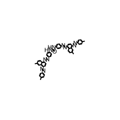 Cc1ccc(N=Nc2ccc(N=Nc3ccc(NC(=O)Nc4ccc(N=Nc5ccc(N=Nc6ccc(C)cc6)c6cc(C)ccc56)cc4)cc3)c3ccc(C)cc23)cc1